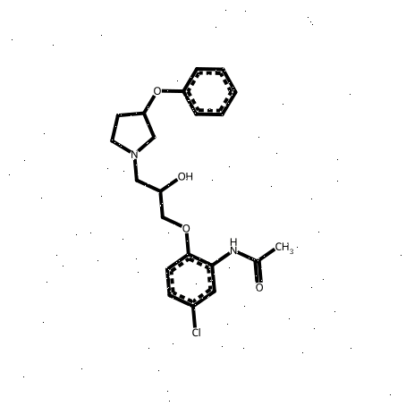 CC(=O)Nc1cc(Cl)ccc1OCC(O)CN1CCC(Oc2ccccc2)C1